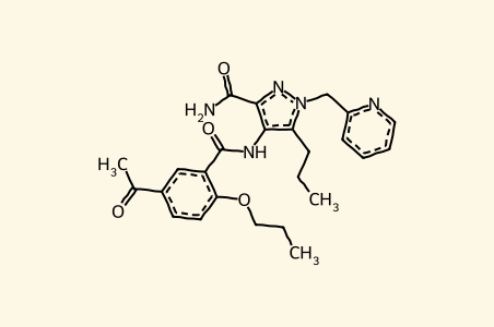 CCCOc1ccc(C(C)=O)cc1C(=O)Nc1c(C(N)=O)nn(Cc2ccccn2)c1CCC